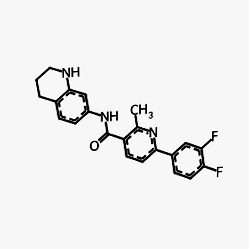 Cc1nc(-c2ccc(F)c(F)c2)ccc1C(=O)Nc1ccc2c(c1)NCCC2